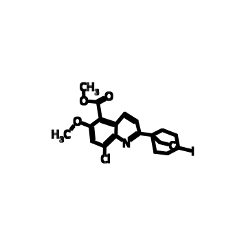 COC(=O)c1c(OC)cc(Cl)c2nc(C34CCC(I)(CC3)CC4)ccc12